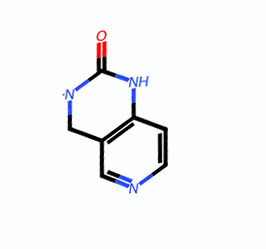 O=C1[N]Cc2cnccc2N1